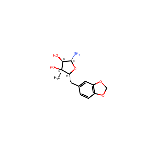 C[C@@]1(O)[C@@H](Cc2ccc3c(c2)OCO3)O[C@@H](N)[C@@H]1O